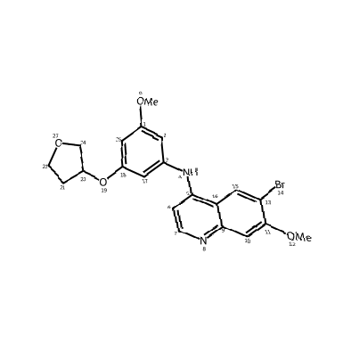 COc1cc(Nc2ccnc3cc(OC)c(Br)cc23)cc(OC2CCOC2)c1